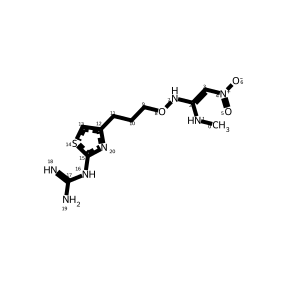 CNC(=C[N+](=O)[O-])NOCCCc1csc(NC(=N)N)n1